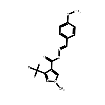 COc1ccc(/C=N/OC(=O)c2cn(C)nc2C(F)(F)F)cc1